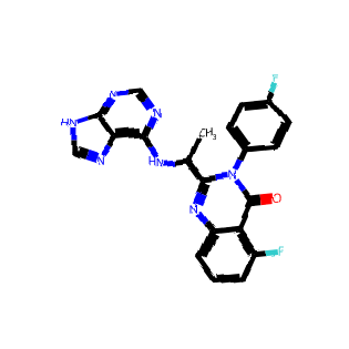 CC(Nc1ncnc2[nH]cnc12)c1nc2cccc(F)c2c(=O)n1-c1ccc(F)cc1